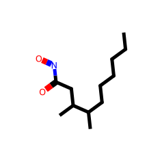 CCCCCCC(C)C(C)CC(=O)N=O